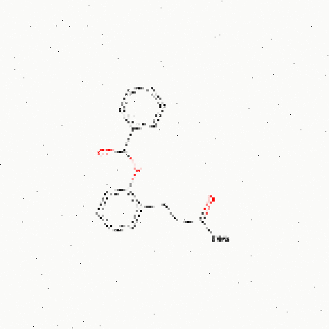 COC(=O)CCc1ccccc1OC(=O)c1ccccc1